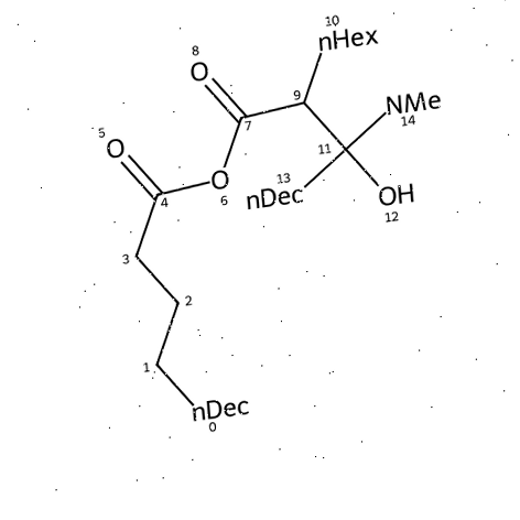 CCCCCCCCCCCCCC(=O)OC(=O)C(CCCCCC)C(O)(CCCCCCCCCC)NC